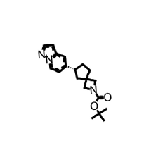 CC(C)(C)OC(=O)N1CC2(CC[C@@H](c3ccn4nccc4c3)C2)C1